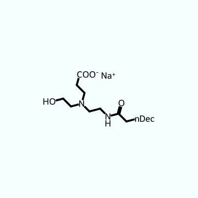 CCCCCCCCCCCC(=O)NCCN(CCO)CCC(=O)[O-].[Na+]